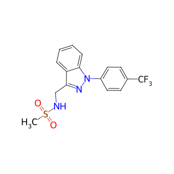 CS(=O)(=O)NCc1nn(-c2ccc(C(F)(F)F)cc2)c2ccccc12